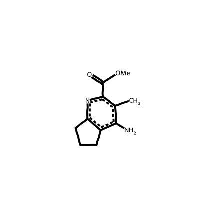 COC(=O)c1nc2c(c(N)c1C)CCC2